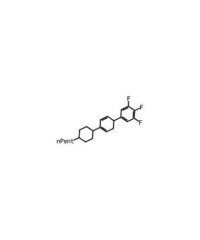 CCCCCC1CCC(C2=CCC(c3cc(F)c(F)c(F)c3)C=C2)CC1